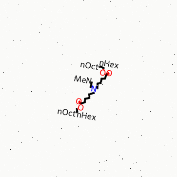 CCCCCCCCC(CCCCCC)COC(=O)CCCCCN(CCCCCC(=O)OCC(CCCCCC)CCCCCCCC)CCNC